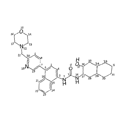 O=C(Nc1ccc(-c2ccc(CN3CCOCC3)nc2)c2ccccc12)NC1CC2CCCCC2CC1O